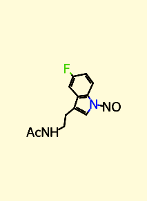 CC(=O)NCCc1cn(N=O)c2ccc(F)cc12